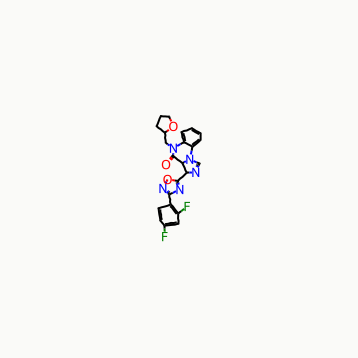 O=C1C2C(c3nc(-c4ccc(F)cc4F)no3)N=CN2c2ccccc2N1CC1CCCO1